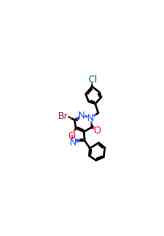 O=c1c2c(-c3ccccc3)noc2c(Br)nn1Cc1ccc(Cl)cc1